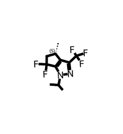 CC(C)n1nc(C(F)(F)F)c2c1C(F)(F)C[C@@H]2C